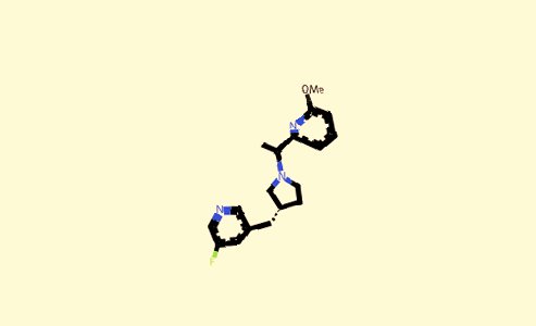 COc1cccc(C(C)N2CC[C@H](Cc3cncc(F)c3)C2)n1